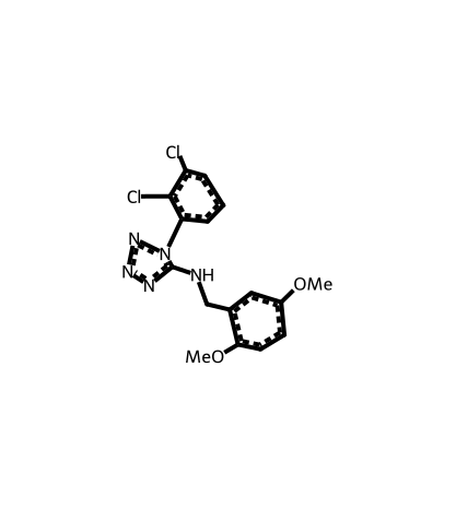 COc1ccc(OC)c(CNc2nnnn2-c2cccc(Cl)c2Cl)c1